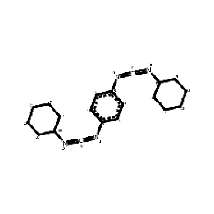 C(=Nc1ccc(N=C=NC2CCCCC2)cc1)=NC1CCCCC1